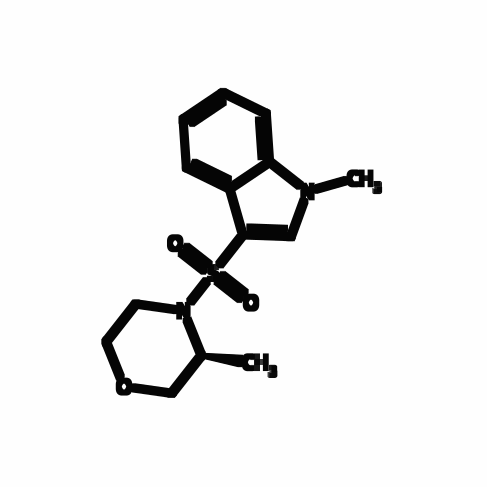 C[C@H]1COCCN1S(=O)(=O)c1cn(C)c2ccccc12